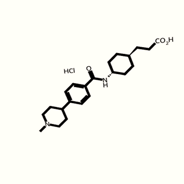 CN1CCC(c2ccc(C(=O)N[C@H]3CC[C@H](CCC(=O)O)CC3)cc2)CC1.Cl